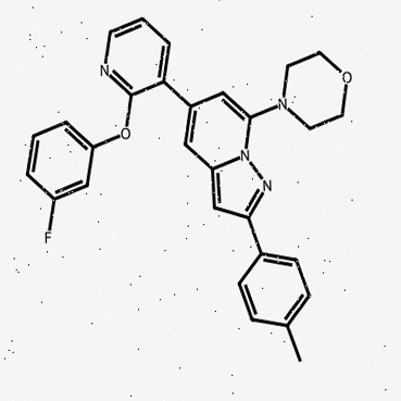 Cc1ccc(-c2cc3cc(-c4cccnc4Oc4cccc(F)c4)cc(N4CCOCC4)n3n2)cc1